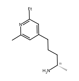 CCc1cc(CCC[C@H](C)N)cc(C)n1